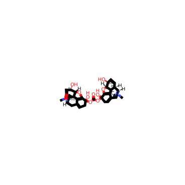 CN1CC[C@]23C4=C5O[C@H]2[C@@H](O)C=C[C@H]3[C@H]1CC4=CCC5(O)OC(=O)OC1(O)CC=C2C[C@@H]3[C@@H]4C=C[C@H](O)[C@@H]5OC1=C2[C@]45CCN3C